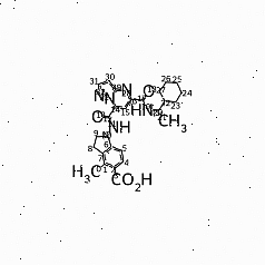 Cc1c(C(=O)O)ccc2c1CC[C@@H]2NC(=O)c1cc(C(=O)N[C@@H](C)C2CCCCC2)nc2ccnn12